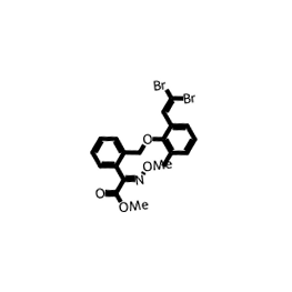 CO/N=C(/C(=O)OC)c1ccccc1COc1c(C)cccc1C=C(Br)Br